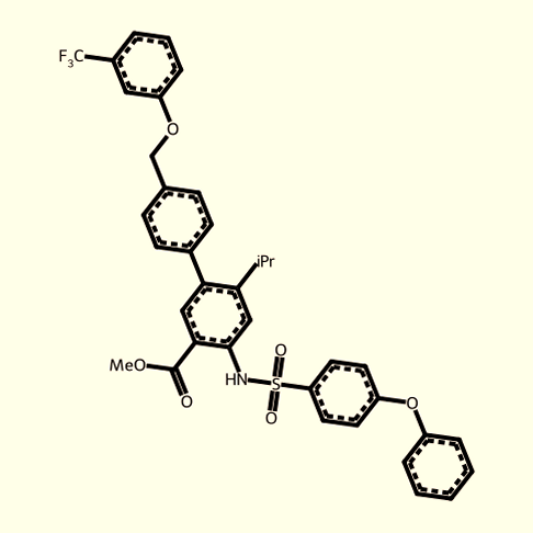 COC(=O)c1cc(-c2ccc(COc3cccc(C(F)(F)F)c3)cc2)c(C(C)C)cc1NS(=O)(=O)c1ccc(Oc2ccccc2)cc1